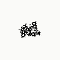 C[C@@H](C(=O)N[C@H](C(=O)N1CC[C@]2(C)[C@H]1[C@@H](c1c[nH]c3cc(F)ccc13)CN2C(=O)[C@@H](NC(=O)[C@H](C)N(C)C(=O)OC(C)(C)C)C1CCCCC1)C1CCCCC1)N(C)C(=O)OC(C)(C)C